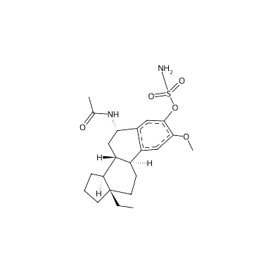 CC[C@@]12CCC[C@H]1[C@@H]1C[C@H](NC(C)=O)c3cc(OS(N)(=O)=O)c(OC)cc3[C@H]1CC2